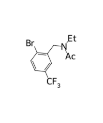 CCN(Cc1cc(C(F)(F)F)ccc1Br)C(C)=O